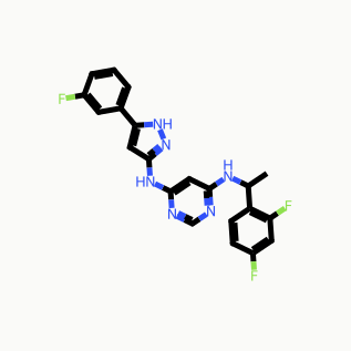 CC(Nc1cc(Nc2cc(-c3cccc(F)c3)[nH]n2)ncn1)c1ccc(F)cc1F